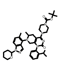 Cc1ccc2c(cnn2C2CCCCO2)c1N1Cc2c(c(N3CCN(C(=O)OC(C)(C)C)CC3)nc(=O)n2-c2ccccc2C(C)C)CC1C